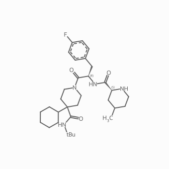 CC1CCN[C@H](C(=O)N[C@H](Cc2ccc(F)cc2)C(=O)N2CCC(C(=O)NC(C)(C)C)(C3CCCCC3)CC2)C1